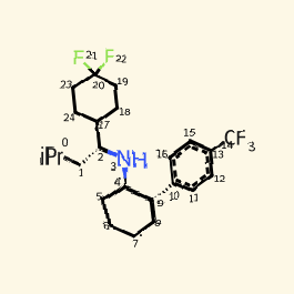 CC(C)C[C@@H](N[C@@H]1CC[CH]C[C@H]1c1ccc(C(F)(F)F)cc1)C1CCC(F)(F)CC1